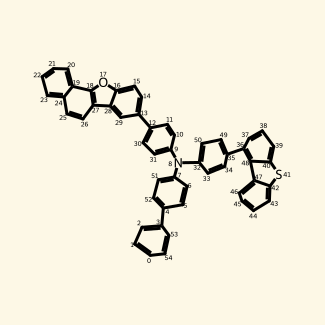 c1ccc(-c2ccc(N(c3ccc(-c4ccc5oc6c7ccccc7ccc6c5c4)cc3)c3ccc(-c4cccc5sc6ccccc6c45)cc3)cc2)cc1